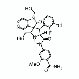 COc1cc(N2CN3[C@@H](CC(C)(C)C)C4(C(=O)N(CO)c5ccncc54)[C@@H](c4cccc(Cl)c4F)[C@@H]3C2=O)ccc1C(N)=O